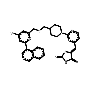 O=C1NC(=O)C(=Cc2ccnc(N3CCC(CNCc4cc(C(F)(F)F)cc(-c5cncc6ccccc56)n4)CC3)n2)S1